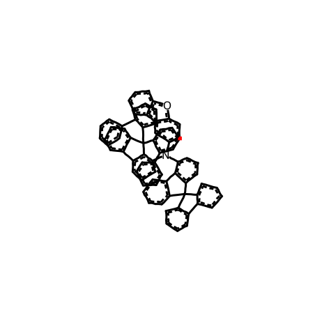 c1ccc(-c2ccccc2C2(c3ccccc3-c3ccccc3)c3ccccc3-c3cccc(N(c4ccc5oc6ccccc6c5c4)c4cccc5c4-c4ccccc4C54c5ccccc5-c5ccccc54)c32)cc1